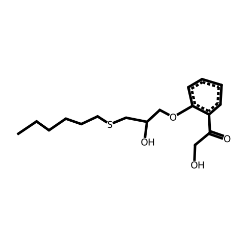 CCCCCCSCC(O)COc1ccccc1C(=O)CO